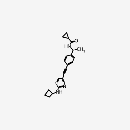 C[C@H](NC(=O)C1CC1)c1ccc(C#Cc2cnc(NC3CCC3)nc2)cc1